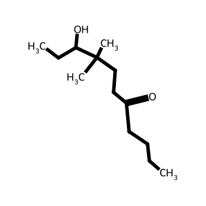 CCCCC(=O)CCC(C)(C)C(O)CC